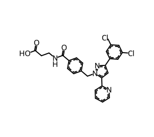 O=C(O)CCNC(=O)c1ccc(Cn2nc(-c3cc(Cl)cc(Cl)c3)cc2-c2ccccn2)cc1